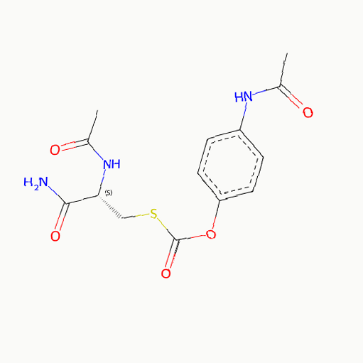 CC(=O)Nc1ccc(OC(=O)SC[C@@H](NC(C)=O)C(N)=O)cc1